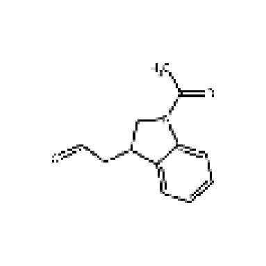 CC(=O)N1CC(CC=O)c2ccccc21